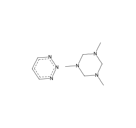 CN1CN(C)CN(C)C1.c1cnnnc1